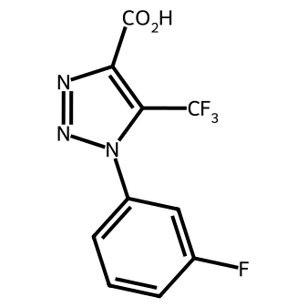 O=C(O)c1nnn(-c2cccc(F)c2)c1C(F)(F)F